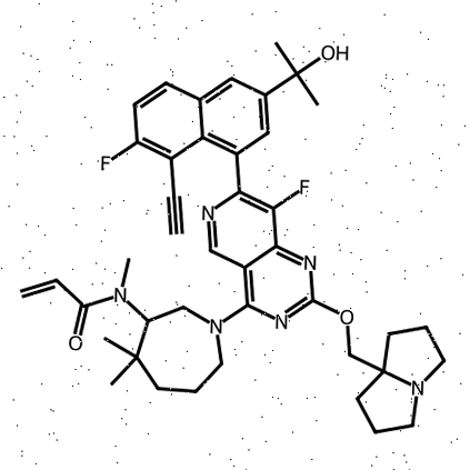 C#Cc1c(F)ccc2cc(C(C)(C)O)cc(-c3ncc4c(N5CCCC(C)(C)C(N(C)C(=O)C=C)C5)nc(OCC56CCCN5CCC6)nc4c3F)c12